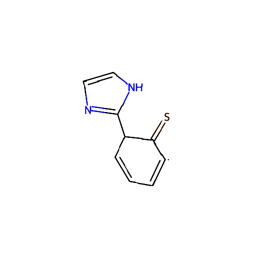 S=C1[C]=CC=CC1c1ncc[nH]1